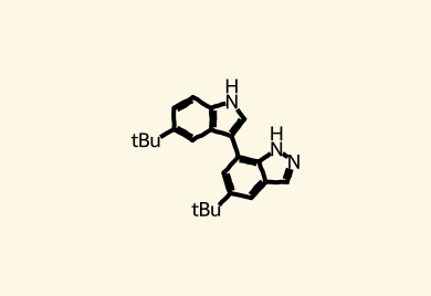 CC(C)(C)c1cc(-c2c[nH]c3ccc(C(C)(C)C)cc23)c2[nH]ncc2c1